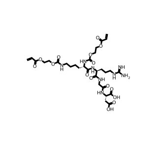 C=CC(=O)OCCOC(=O)NCCCC[C@H](NC(=O)OCCOC(=O)C=C)C(=O)N[C@@H](CCCNC(=N)N)C(=O)NCC(=O)N[C@@H](CC(=O)O)C(=O)O